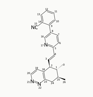 C[C@H]1[C@H](/C=C/c2ccc(-c3ccccc3C#N)cn2)c2ccnnc2C[C@@H]1C